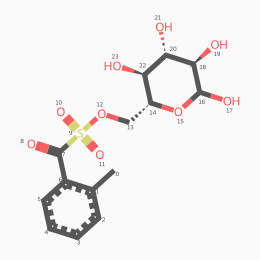 Cc1ccccc1C(=O)S(=O)(=O)OC[C@H]1OC(O)[C@H](O)[C@@H](O)[C@@H]1O